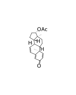 CC(=O)O[C@H]1CC[C@H]2[C@@H]3C=CC4=CC(=O)C=C[C@]4(C)[C@H]3CC[C@]12C